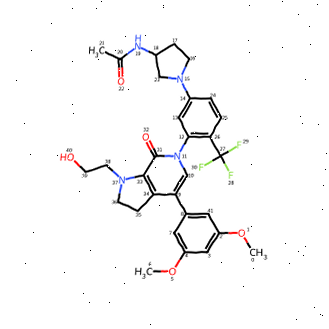 COc1cc(OC)cc(-c2cn(-c3cc(N4CCC(NC(C)=O)C4)ccc3C(F)(F)F)c(=O)c3c2CCN3CCO)c1